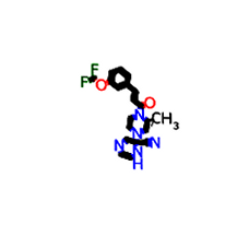 C[C@@H]1CN(C2(C#N)C=NC=CN2)CCN1C(=O)C=Cc1cccc(OC(F)F)c1